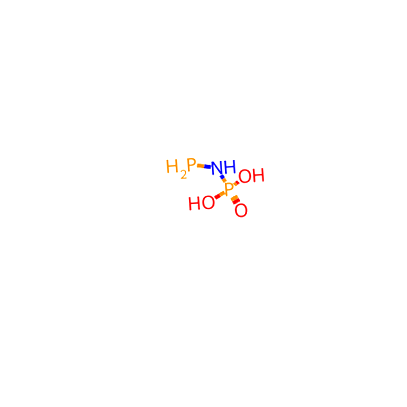 O=P(O)(O)NP